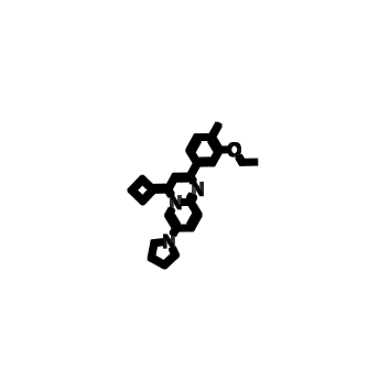 CCOc1cc(C2=CC(=C3CCC3)N3C=C(N4CCCC4)C=CC3=N2)ccc1C